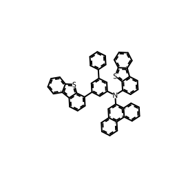 c1ccc(-c2cc(-c3cccc4c3sc3ccccc34)cc(N(c3cc4ccccc4c4ccccc34)c3cccc4c3sc3ccccc34)c2)cc1